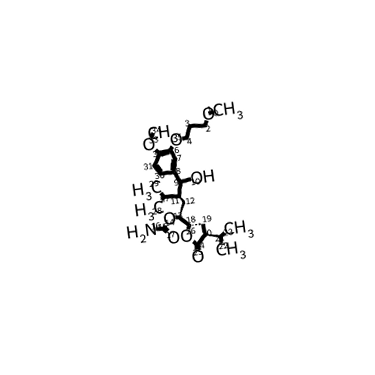 COCCCOc1cc(C(O)[C@@H](C[C@H](OC(N)=O)[C@@H]2C[C@@H](C(C)C)C(=O)O2)C(C)C)ccc1OC